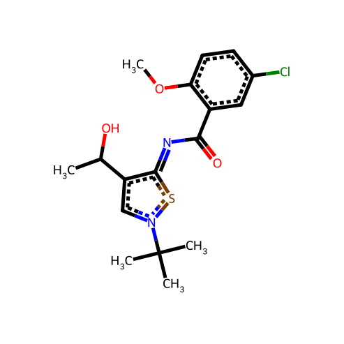 COc1ccc(Cl)cc1C(=O)N=c1sn(C(C)(C)C)cc1C(C)O